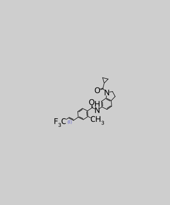 Cc1cc(/C=C/C(F)(F)F)ccc1C(=O)Nc1ccc2c(c1)N(C(=O)C1CC1)CC2